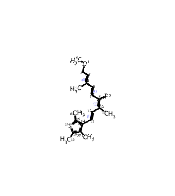 COC/C=C(C)/C=C/C(F)=C(C)\C=C\c1c(C)sc(C)c1C